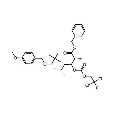 COc1ccc(CO[C@@H](C[C@@H](C)C[C@H](OC(=O)OCC(Cl)(Cl)Cl)[C@H](C)C(=O)OCc2ccccc2)C(C)(C)C)cc1